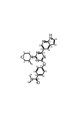 CC1COCCN1c1nc(Oc2ccc(C(=O)N(C)C)cc2)nc(-c2cnc3[nH]ccc3c2)n1